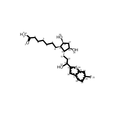 CC(=O)CCCCCC[C@@H]1[C@@H](CCC(O)c2cc3ccc(F)cc3s2)[C@H](O)C[C@@H]1O